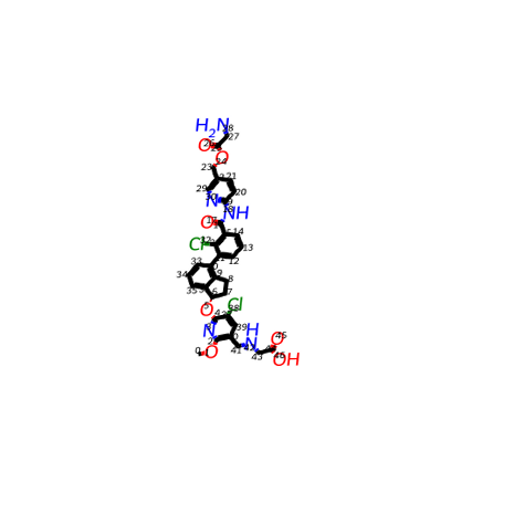 COc1nc(O[C@H]2CCc3c(-c4cccc(C(=O)Nc5ccc(COC(=O)CN)cn5)c4Cl)cccc32)c(Cl)cc1CNCC(=O)O